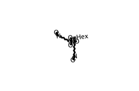 CCCCCCn1c(=O)n(CCCCCCN=C=O)c(=O)n(CCCCCCN=C=O)c1=O